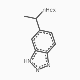 CCCCCCC(C)c1ccc2nn[nH]c2c1